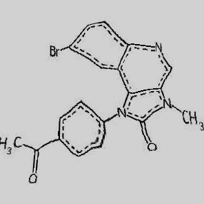 CC(=O)c1ccc(-n2c(=O)n(C)c3cnc4ccc(Br)cc4c32)cc1